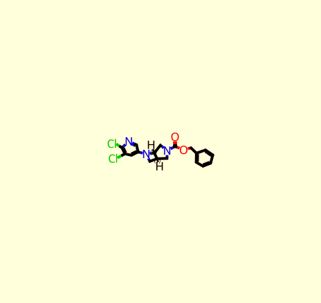 O=C(OCc1ccccc1)N1C[C@@H]2CN(c3cnc(Cl)c(Cl)c3)[C@@H]2C1